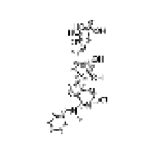 CN(Cc1ccccc1)c1nc(Cl)nc2c1nnn2[C@@H]1C[C@H](COP(=O)(O)CP(=O)(O)O)[C@@H](O)[C@H]1O